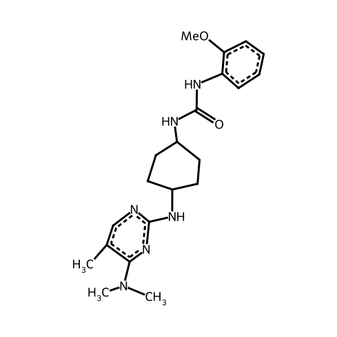 COc1ccccc1NC(=O)NC1CCC(Nc2ncc(C)c(N(C)C)n2)CC1